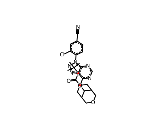 CC(C)(C)OC(=O)N1CC2COCC(C1)C2Oc1ncnc2c1nnn2-c1ccc(C#N)cc1Cl